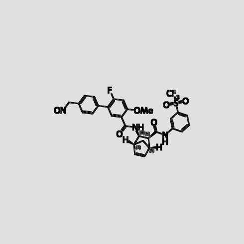 COc1cc(F)c(-c2ccc(CN=O)cc2)cc1C(=O)N[C@H]1[C@@H](C(=O)Nc2cccc(S(=O)(=O)C(F)(F)F)c2)[C@@H]2C=C[C@H]1C2